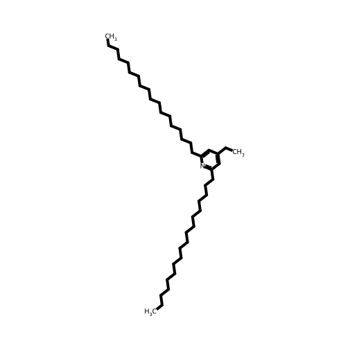 C[CH]c1cc(CCCCCCCCCCCCCCCCCC)nc(CCCCCCCCCCCCCCCCCC)c1